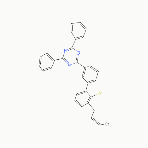 CC/C=C\Cc1cccc(-c2cccc(-c3nc(-c4ccccc4)nc(-c4ccccc4)n3)c2)c1S